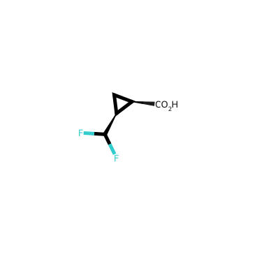 O=C(O)[C@@H]1C[C@@H]1C(F)F